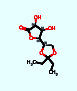 CCC1(CC)OC[C@@H]([C@H]2OC(=O)[C@@H](O)[C@H]2O)O1